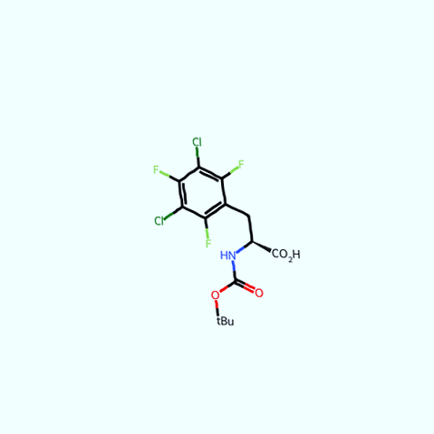 CC(C)(C)OC(=O)N[C@@H](Cc1c(F)c(Cl)c(F)c(Cl)c1F)C(=O)O